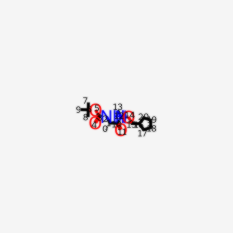 C[C@H](NC(=O)OC(C)(C)C)C(=O)N(C)OCC1CCCC1